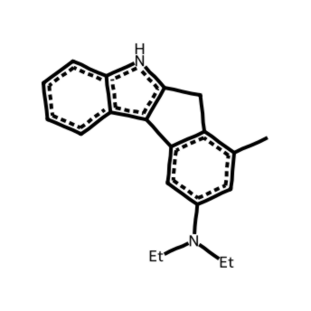 CCN(CC)c1cc(C)c2c(c1)-c1c([nH]c3ccccc13)C2